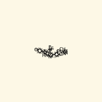 CC(Cn1cnnn1)Oc1cc(-c2cnc(Nc3cn(C4CCC(=O)CC4)nc3OCC(F)(F)F)nc2)ccc1Cl